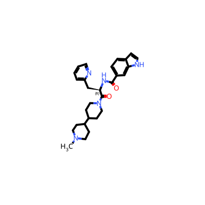 CN1CCC(C2CCN(C(=O)[C@@H](Cc3ccccn3)NC(=O)c3ccc4cc[nH]c4c3)CC2)CC1